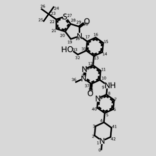 CN1CCC(c2ccc(Nc3cc(-c4cccc(N5Cc6cc(C(C)(C)C)sc6C5=O)c4CO)nn(C)c3=O)nc2)CC1